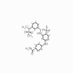 CN(c1cccc(CNc2nc(Nc3ccc(C(N)=O)nc3)ncc2C(F)(F)F)c1)S(C)(=O)=O